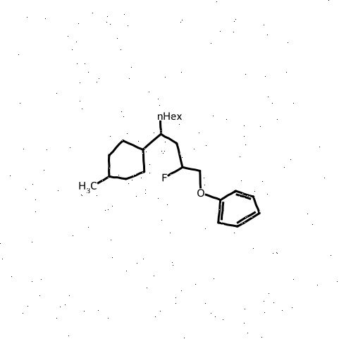 CCCCCCC(CC(F)COc1ccccc1)C1CCC(C)CC1